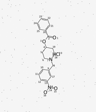 Cl.O=C(OC1CCN(Cc2cccc([N+](=O)[O-])c2)CC1)c1ccccc1